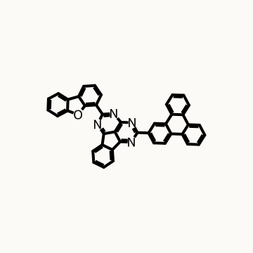 c1ccc2c(c1)-c1nc(-c3ccc4c5ccccc5c5ccccc5c4c3)nc3nc(-c4cccc5c4oc4ccccc45)nc-2c13